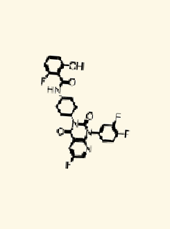 O=C(N[C@H]1CC[C@@H](n2c(=O)c3cc(F)cnc3n(-c3ccc(F)c(F)c3)c2=O)CC1)c1c(O)cccc1F